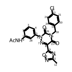 CC(=O)Nc1cccc(-n2nc(-c3nc(C)no3)c(=O)n(Cc3ccc(Cl)cc3)c2=O)c1